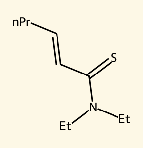 CCCC=CC(=S)N(CC)CC